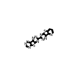 c1cnc2c(c1)sc1nc(-c3nnc4c(n3)sc3ncnnc34)nnc12